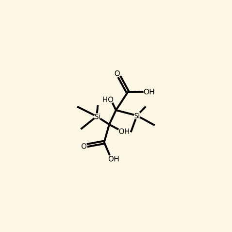 C[Si](C)(C)C(O)(C(=O)O)C(O)(C(=O)O)[Si](C)(C)C